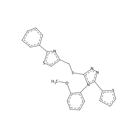 COc1ccccc1-n1c(SCc2csc(-c3ccccc3)n2)nnc1-c1cccs1